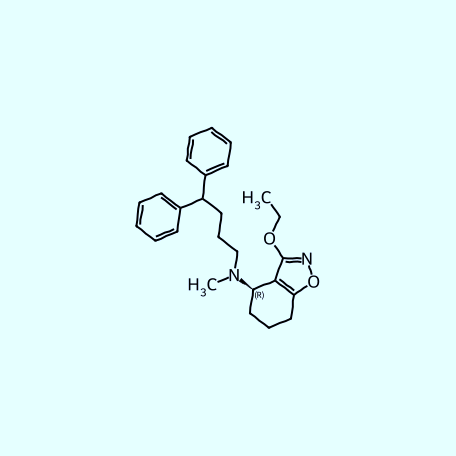 CCOc1noc2c1[C@H](N(C)CCCC(c1ccccc1)c1ccccc1)CCC2